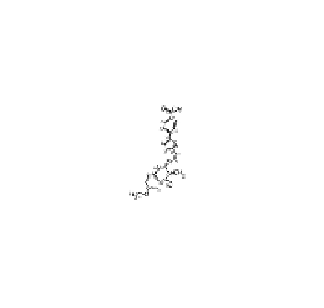 COc1ccc(/N=C(/S/C=C\c2ccc(-c3ccc(C(=O)O)cc3)s2)N(C)C=O)cc1